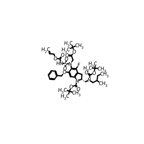 C=CCOC(=O)NS(=O)(=O)N(CC(=O)OC(C)(C)C)c1c(OCc2ccccc2)cc2c(c1F)C[C@H](CN(CC(C)CC)C(=O)OC(C)(C)C)N2C(=O)OC(C)(C)C